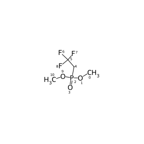 COP(=O)(CC(F)(F)F)OC